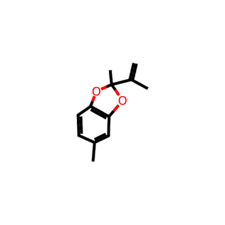 C=C(C)C1(C)Oc2ccc(C)cc2O1